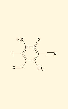 Cc1c(C=O)c(Cl)n(C)c(=O)c1C#N